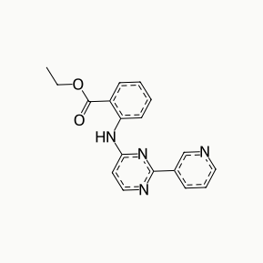 CCOC(=O)c1ccccc1Nc1ccnc(-c2cccnc2)n1